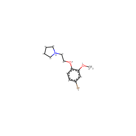 FC(F)(F)Oc1cc(Br)ccc1OCCN1CCCC1